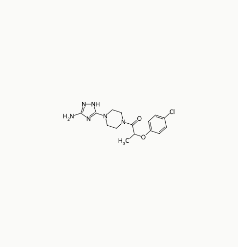 CC(Oc1ccc(Cl)cc1)C(=O)N1CCN(c2nc(N)n[nH]2)CC1